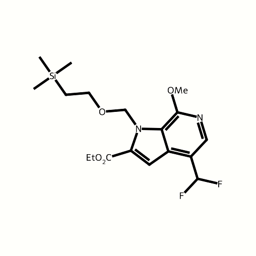 CCOC(=O)c1cc2c(C(F)F)cnc(OC)c2n1COCC[Si](C)(C)C